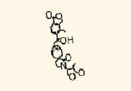 CC1=C(N2CCC3(CC4CCC(C3)N4C[C@H](O)c3ccc4c(c3C)COC4=O)C2=O)COC1=O